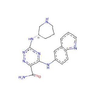 NC(=O)c1nnc(N[C@H]2CCCNC2)nc1Nc1ccc2ncccc2c1